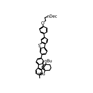 CCCCCCCCCCCCOc1ccc(-c2ccc3c(c2)sc2cc(-c4ccc5c(c4)C4(c6cc(C)ccc6-5)C5(CCCC)CCCC4(CCCC)CCC5)ccc23)cc1